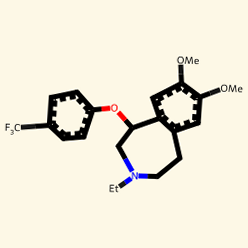 CCN1CCc2cc(OC)c(OC)cc2C(Oc2ccc(C(F)(F)F)cc2)C1